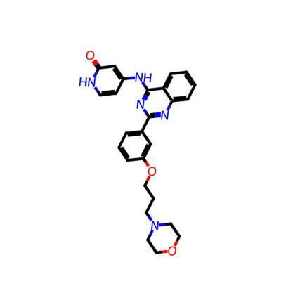 O=c1cc(Nc2nc(-c3cccc(OCCCN4CCOCC4)c3)nc3ccccc23)cc[nH]1